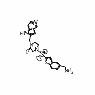 NCc1ccc2sc(S(=O)(=O)N3CCN(Cc4cc5cnccc5[nH]4)C(=O)C3)cc2c1